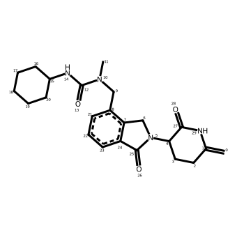 C=C1CCC(N2Cc3c(CN(C)C(=O)NC4CCCCC4)cccc3C2=O)C(=O)N1